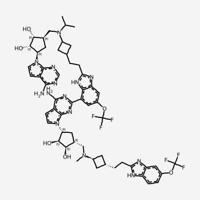 CC(C)N(C[C@H]1C[C@@H](n2ccc3c(N)ncnc32)[C@H](O)[C@@H]1O)C1CC(CCc2nc3cc(OC(F)(F)F)cc(-c4nc(N)c5ccn([C@@H]6C[C@H](CN(C)[C@H]7C[C@H](CCc8nc9cc(OC(F)(F)F)ccc9[nH]8)C7)[C@@H](O)[C@H]6O)c5n4)c3[nH]2)C1